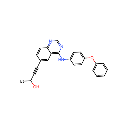 CCC(O)C#Cc1ccc2ncnc(Nc3ccc(Oc4ccccc4)cc3)c2c1